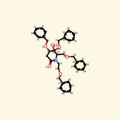 O=C1CC(OCc2ccccc2)C(O)(OCc2ccccc2)C(COCc2ccccc2)N1CCOCc1ccccc1